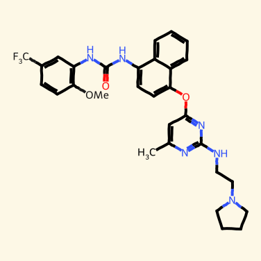 COc1ccc(C(F)(F)F)cc1NC(=O)Nc1ccc(Oc2cc(C)nc(NCCN3CCCC3)n2)c2ccccc12